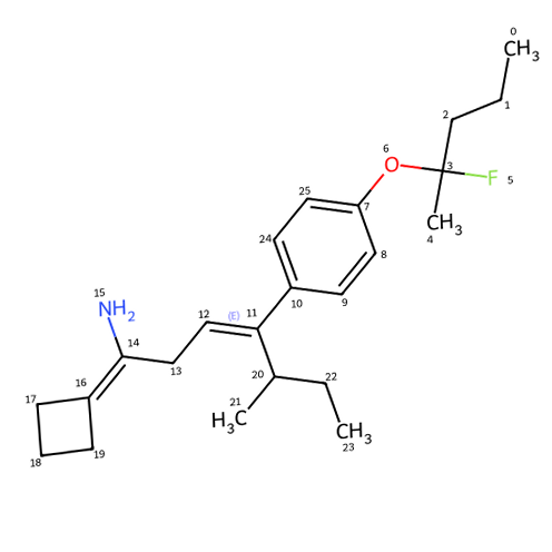 CCCC(C)(F)Oc1ccc(/C(=C/CC(N)=C2CCC2)C(C)CC)cc1